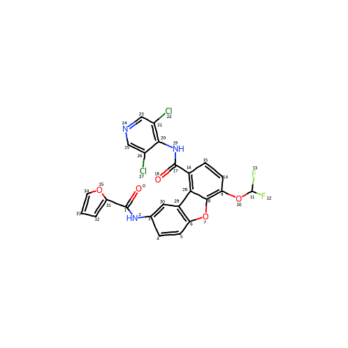 O=C(Nc1ccc2oc3c(OC(F)F)ccc(C(=O)Nc4c(Cl)cncc4Cl)c3c2c1)c1ccco1